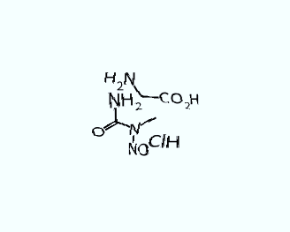 CN(N=O)C(N)=O.Cl.NCC(=O)O